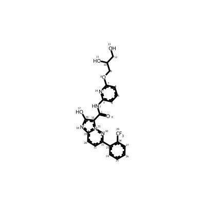 O=C(Nc1cccc(OCC(O)CO)n1)c1c(O)nc2ccc(-c3ccccc3C(F)(F)F)nn12